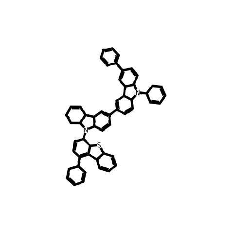 C1=CCC(C2=C3C4C=CC=CC4SC3C(N3C4C=CC(C5=CC6C7C=C(c8ccccc8)C=CC7N(C7C=CC=CC7)C6C=C5)=CC4C4C=CCCC43)C=C2)C=C1